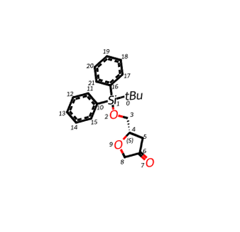 CC(C)(C)[Si](OC[C@@H]1CC(=O)CO1)(c1ccccc1)c1ccccc1